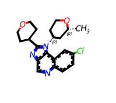 C[C@@H]1C[C@H](n2c(C3CCOCC3)nc3cnc4ccc(Cl)cc4c32)CCO1